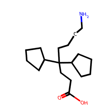 NCCCCC(CCC(=O)O)(C1CCCC1)C1CCCC1